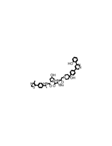 Cc1ncsc1-c1ccc([C@H](C)NC(=O)[C@@H]2C[C@@H](O)CN2C(=O)[C@@H](NC(=O)CN2CCC(O)(c3ccc(-c4cnnc(-c5ccccc5O)c4)cc3)CC2)C(C)(C)C)cc1